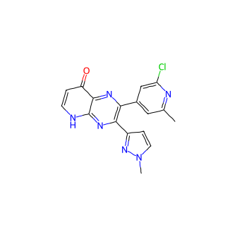 Cc1cc(-c2nc3c(=O)cc[nH]c3nc2-c2ccn(C)n2)cc(Cl)n1